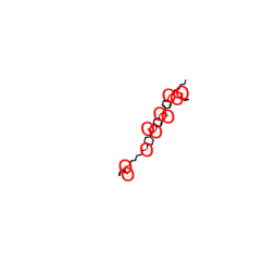 C=CC(=O)OCCCCCCOC1CCC(C(=O)Oc2ccc(OC(=O)c3ccc(OC(CCCCC)OC(=O)C=C)cc3)cc2)CC1